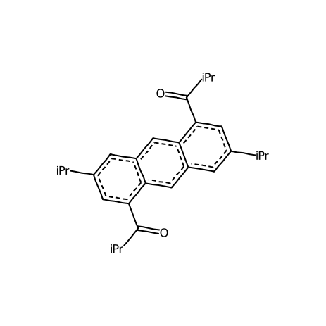 CC(C)C(=O)c1cc(C(C)C)cc2cc3c(C(=O)C(C)C)cc(C(C)C)cc3cc12